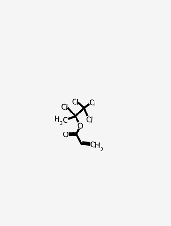 C=CC(=O)OC(C)(Cl)C(Cl)(Cl)Cl